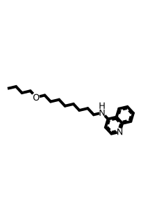 CCCCOCCCCCCCCNc1ccnc2ccccc12